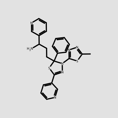 Cc1nnc(N2N=C(c3cccnc3)SC2(CCC(N)c2cccnc2)c2ccccc2)s1